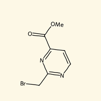 COC(=O)c1ccnc(CBr)n1